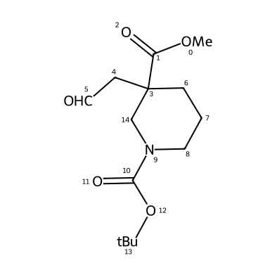 COC(=O)C1(CC=O)CCCN(C(=O)OC(C)(C)C)C1